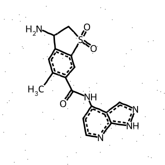 Cc1cc2c(cc1C(=O)Nc1ccnc3[nH]ncc13)S(=O)(=O)CC2N